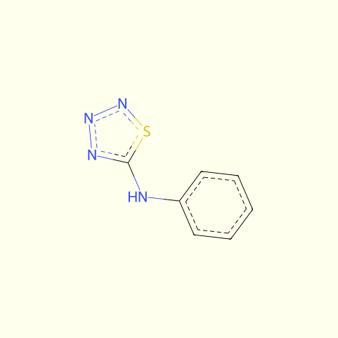 c1ccc(Nc2nnns2)cc1